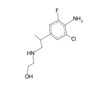 CC(CNCCO)c1cc(F)c(N)c(Cl)c1